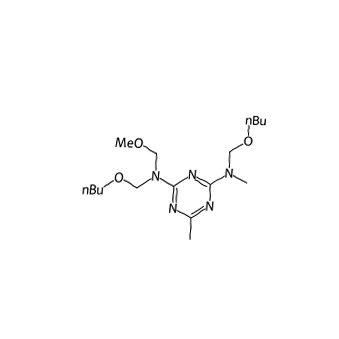 CCCCOCN(C)c1nc(C)nc(N(COC)COCCCC)n1